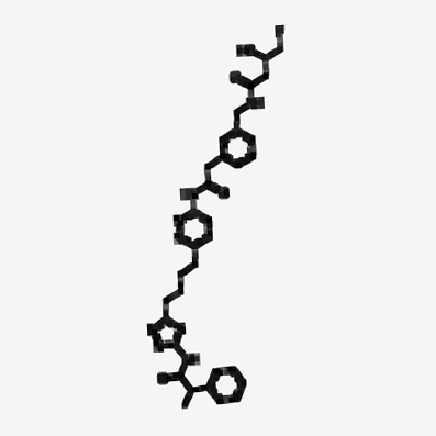 CC(C(=O)Nc1nnc(CCCCc2ccc(NC(=O)Cc3cccc(CNC(=O)CC(O)CF)c3)nn2)s1)c1ccccc1